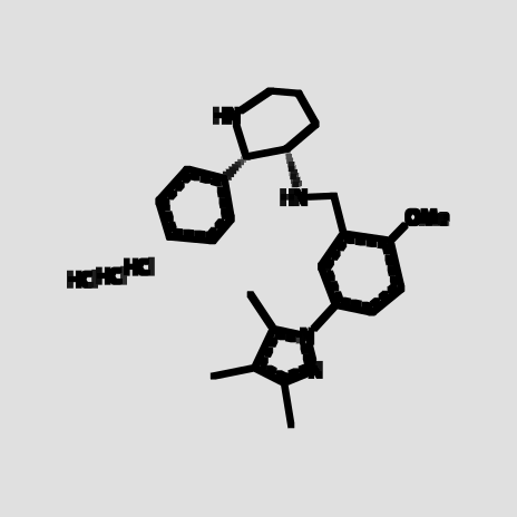 COc1ccc(-n2nc(C)c(C)c2C)cc1CN[C@H]1CCCN[C@H]1c1ccccc1.Cl.Cl.Cl